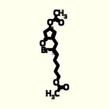 CC(=O)OCCCC/C=C(\Br)CC1=C[C@H](OC(C)=O)CC1=O